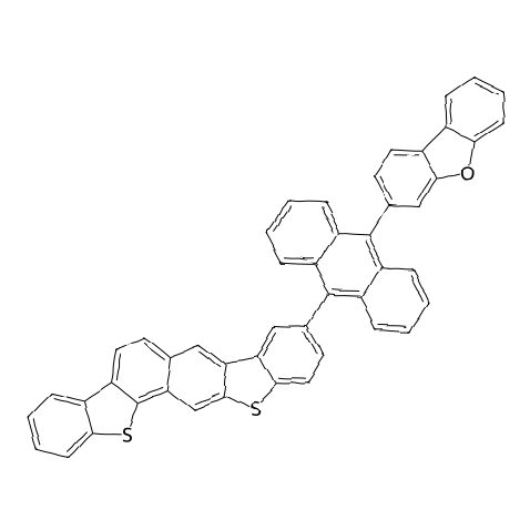 c1ccc2c(c1)oc1cc(-c3c4ccccc4c(-c4ccc5sc6cc7c(ccc8c9ccccc9sc78)cc6c5c4)c4ccccc34)ccc12